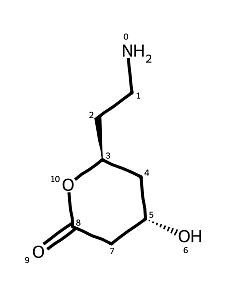 NCC[C@H]1C[C@H](O)CC(=O)O1